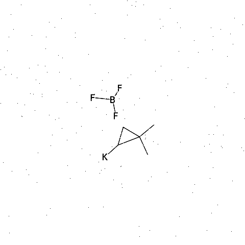 CC1(C)C[CH]1[K].FB(F)F